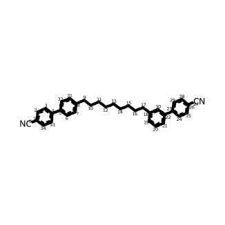 N#Cc1ccc(-c2ccc(CCCCCCCCCc3cccc(-c4ccc(C#N)cc4)c3)cc2)cc1